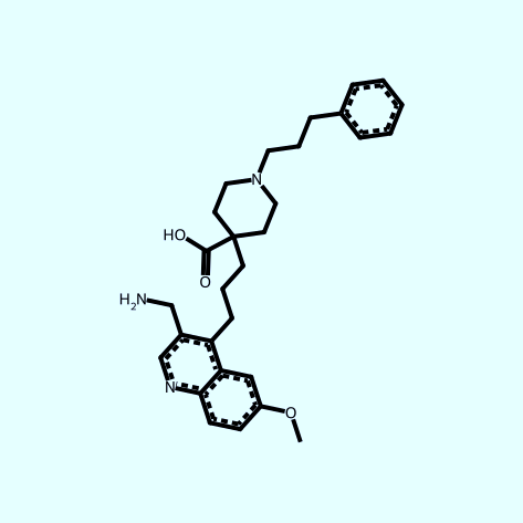 COc1ccc2ncc(CN)c(CCCC3(C(=O)O)CCN(CCCc4ccccc4)CC3)c2c1